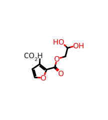 O=C(O)c1ccoc1C(=O)OCC(O)O